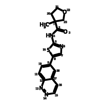 CC1(C(=O)Nc2ncc(-c3ccc4nnccc4c3)s2)CCOC1